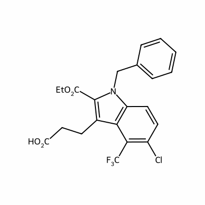 CCOC(=O)c1c(CCC(=O)O)c2c(C(F)(F)F)c(Cl)ccc2n1Cc1ccccc1